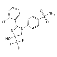 NS(=O)(=O)c1ccc(N2CC(O)(C(F)(F)F)N=C2c2ccccc2Cl)cc1